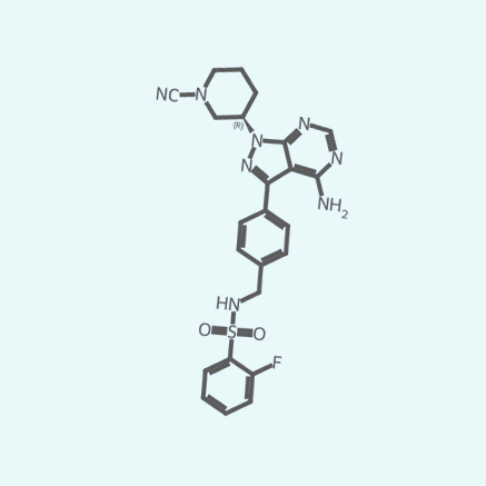 N#CN1CCC[C@@H](n2nc(-c3ccc(CNS(=O)(=O)c4ccccc4F)cc3)c3c(N)ncnc32)C1